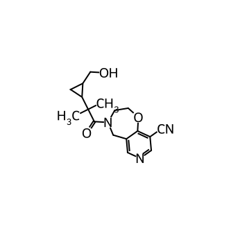 CC(C)(C(=O)N1CCOc2c(C#N)cncc2C1)C1CC1CO